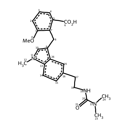 COc1cccc(C(=O)O)c1Cc1cn(C)c2ccc(CCNC(=O)N(C)C)cc12